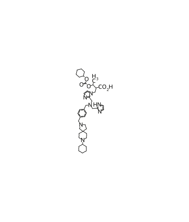 CC(OC(=O)OC1CCCCC1)C(Cn1ccnc1CN(Cc1ccc(CN2CCC3(CCN(C4CCCCC4)CC3)C2)cc1)Cc1ncc[nH]1)C(=O)O